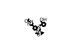 CC(=O)c1ncc(-c2ccc3c(c2)N(Cc2ccccc2CO)C[C@H](C2CC2)N3C(C)=O)cn1